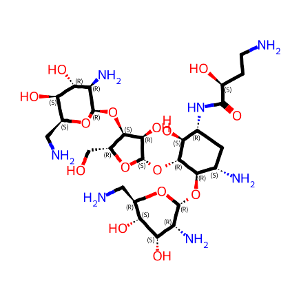 NCC[C@H](O)C(=O)N[C@@H]1C[C@H](N)[C@@H](O[C@H]2O[C@H](CN)[C@@H](O)[C@@H](O)[C@H]2N)[C@H](O[C@@H]2O[C@H](CO)[C@@H](O[C@H]3O[C@@H](CN)[C@@H](O)[C@H](O)[C@H]3N)[C@H]2O)[C@H]1O